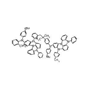 Cc1ccc(N2c3cc(N(c4ccc(C(C)(C)C)cc4)c4ccc(C(C)(C)Cc5cccc(N6c7cc(N(c8ccc(C(C)(C)C)cc8)c8ccccc8C)ccc7B7c8ccccc8N(c8ccccc8)c8cccc6c87)c5)cc4)ccc3B3c4ccccc4N(c4ccccc4)c4cccc2c43)cc1